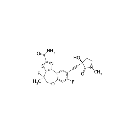 CN1CC[C@@](O)(C#Cc2cc3c(cc2F)OC[C@@](C)(F)c2sc(C(N)=O)nc2-3)C1=O